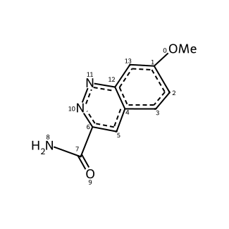 COc1ccc2cc(C(N)=O)nnc2c1